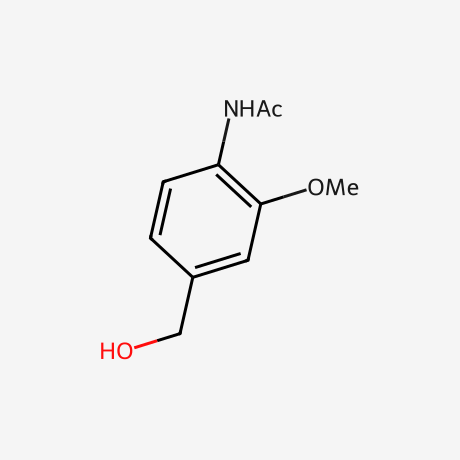 COc1cc(CO)ccc1NC(C)=O